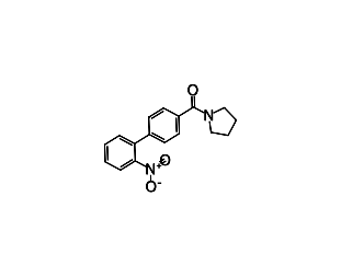 O=C(c1ccc(-c2ccccc2[N+](=O)[O-])cc1)N1CCCC1